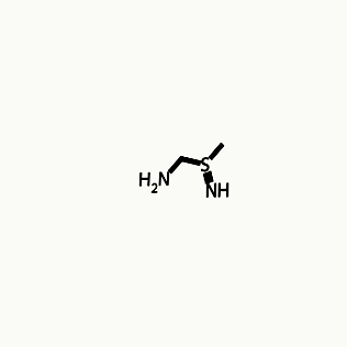 CS(=N)CN